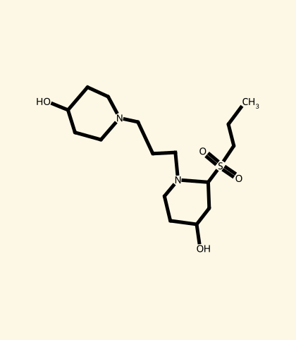 CCCS(=O)(=O)C1CC(O)CCN1CCCN1CCC(O)CC1